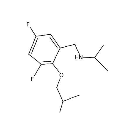 CC(C)COc1c(F)cc(F)cc1CNC(C)C